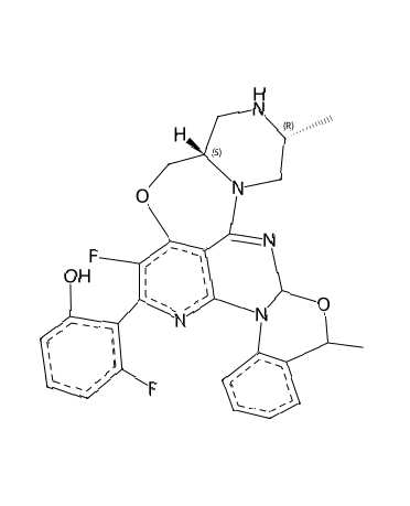 CC1OC2N=C3c4c(nc(-c5c(O)cccc5F)c(F)c4OC[C@@H]4CN[C@H](C)CN34)N2c2ccccc21